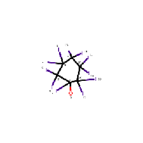 [O]C1(I)C(I)(I)C(I)(I)C(I)(I)C(I)(I)C1(I)I